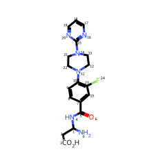 NC(CC(=O)O)NC(=O)c1ccc(N2CCN(c3ncccn3)CC2)c(F)c1